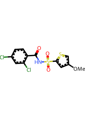 COc1csc(S(=O)(=O)NC(=O)c2ccc(Cl)cc2Cl)c1